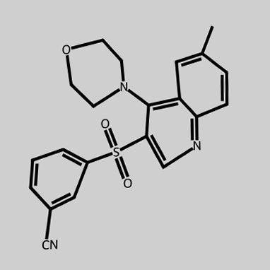 Cc1ccc2ncc(S(=O)(=O)c3cccc(C#N)c3)c(N3CCOCC3)c2c1